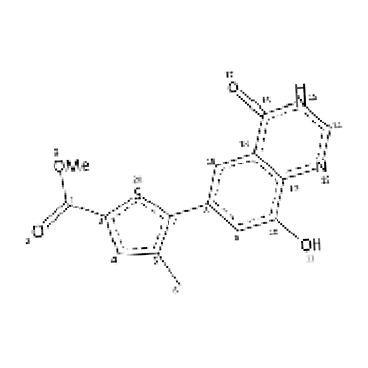 COC(=O)c1cc(C)c(-c2cc(O)c3nc[nH]c(=O)c3c2)s1